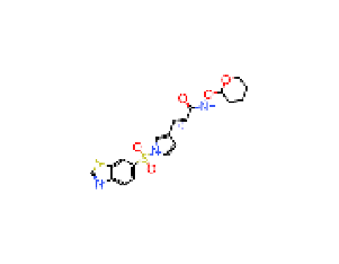 O=C(/C=C/c1ccn(S(=O)(=O)c2ccc3ncsc3c2)c1)NOC1CCCCO1